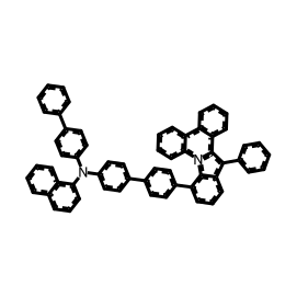 c1ccc(-c2ccc(N(c3ccc(-c4ccc(-c5cccc6c(-c7ccccc7)c7c8ccccc8c8ccccc8n7c56)cc4)cc3)c3cccc4ccccc34)cc2)cc1